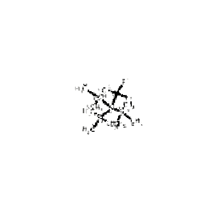 C[Si](C)(C)[Si](C(F)(F)F)([Si](C)(C)C)[Si](C)(C)C